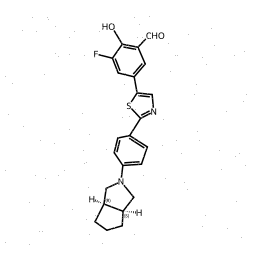 O=Cc1cc(-c2cnc(-c3ccc(N4C[C@H]5CCC[C@H]5C4)cc3)s2)cc(F)c1O